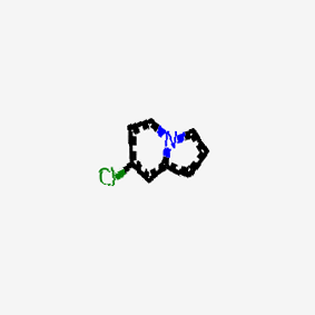 Clc1ccn2cccc2c1